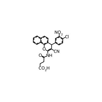 N#CC1=C(NC(=O)CCC(=O)O)Oc2c(ccc3ccccc23)C1c1ccc(Cl)c([N+](=O)[O-])c1